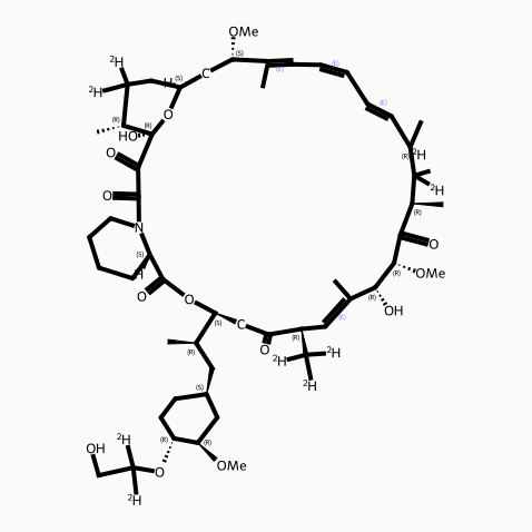 [2H]C([2H])(CO)O[C@@H]1CC[C@@H](C[C@@H](C)[C@@H]2CC(=O)[C@H](C([2H])([2H])[2H])/C=C(\C)[C@@H](O)[C@@H](OC)C(=O)[C@H](C)C([2H])(C)[C@]([2H])(C)/C=C/C=C/C=C(\C)[C@@H](OC)C[C@@H]3CC([2H])([2H])[C@@H](C)[C@@](O)(O3)C(=O)C(=O)N3CCCC[C@H]3C(=O)O2)C[C@H]1OC